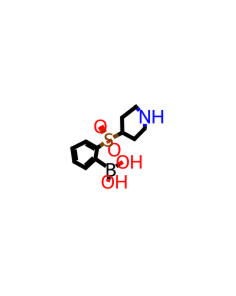 O=S(=O)(c1ccccc1B(O)O)C1CCNCC1